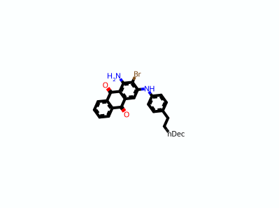 CCCCCCCCCCCCc1ccc(Nc2cc3c(c(N)c2Br)C(=O)c2ccccc2C3=O)cc1